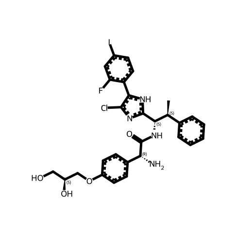 C[C@@H](c1ccccc1)[C@H](NC(=O)[C@H](N)c1ccc(OC[C@@H](O)CO)cc1)c1nc(Cl)c(-c2ccc(I)cc2F)[nH]1